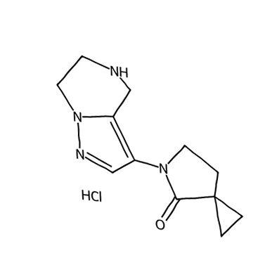 Cl.O=C1N(c2cnn3c2CNCC3)CCC12CC2